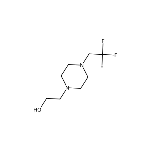 OCCN1CCN(CC(F)(F)F)CC1